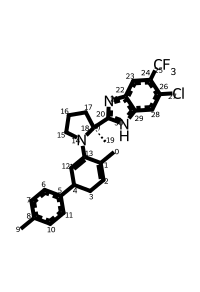 CC1=CCC(c2ccc(C)cc2)[C]=C1N1CCC[C@@]1(C)c1nc2cc(C(F)(F)F)c(Cl)cc2[nH]1